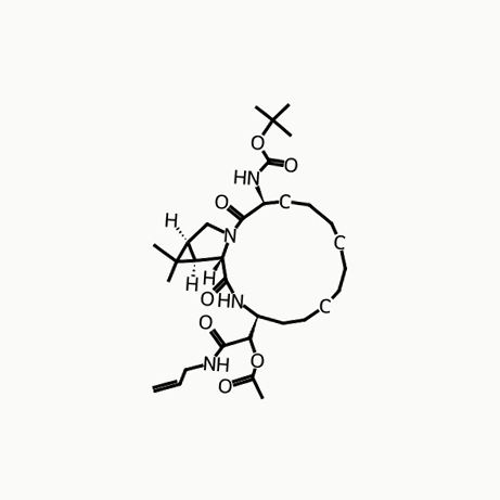 C=CCNC(=O)C(OC(C)=O)[C@@H]1CCCCCCCCC[C@H](NC(=O)OC(C)(C)C)C(=O)N2C[C@H]3[C@@H]([C@H]2C(=O)N1)C3(C)C